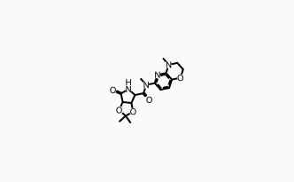 CN1CCOc2ccc(N(C)C(=O)C3NC(=O)C4OC(C)(C)OC34)nc21